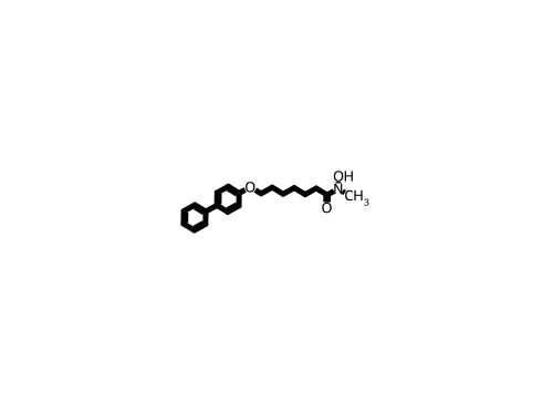 CN(O)C(=O)CCCCCCOc1ccc(-c2ccccc2)cc1